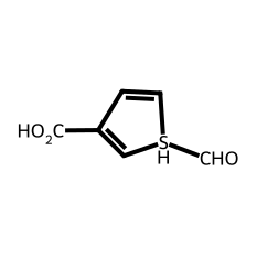 O=C[SH]1C=CC(C(=O)O)=C1